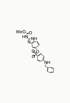 COC(=O)Nc1nc2cc(OS(=O)(=O)c3ccc(NCc4ccccc4)cc3)ccc2[nH]1